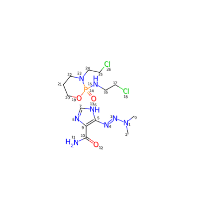 CN(C)N=Nc1[nH]cnc1C(N)=O.O=P1(NCCCl)OCCCN1CCCl